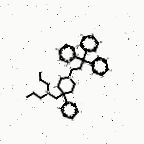 CCCN(CCC)CC1(c2ccccc2)CCN(CCC(c2ccccc2)(c2ccccc2)c2ccccn2)CC1